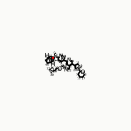 CN(c1ccc(-c2ncc(-c3cnn(C4CCCCO4)c3)c3cnn(COCC[Si](C)(C)C)c23)nn1)[C@@H]1C[C@H]2CC[C@@H](C1)N2C(=O)O